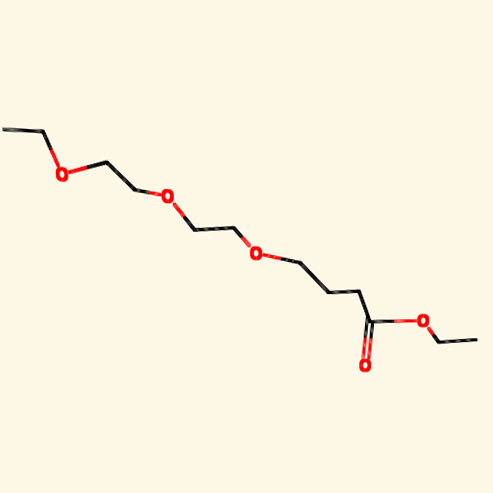 CCOCCOCCOCCCC(=O)OCC